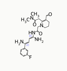 CN(C)C(=O)CC1=C(C=O)CCCN1CC(=O)N/C(N)=C/C=C(\N)c1cccc(F)c1